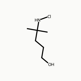 CC(C)(CCCO)NCl